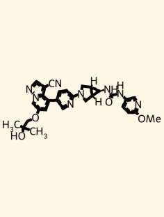 COc1ccc(NC(=O)N[C@H]2[C@@H]3CN(c4ccc(-c5cc(OCC(C)(C)O)cn6ncc(C#N)c56)cn4)C[C@@H]32)cn1